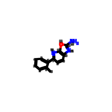 Cc1ccccc1-c1ccc2nc(N)oc2n1